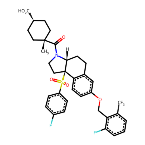 C[C@]1(C(=O)N2CC[C@@]3(S(=O)(=O)c4ccc(F)cc4)c4ccc(OCc5c(F)cccc5C(F)(F)F)cc4CC[C@@H]23)CC[C@H](C(=O)O)CC1